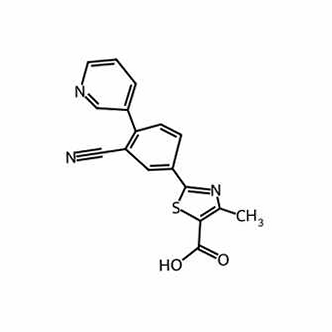 Cc1nc(-c2ccc(-c3cccnc3)c(C#N)c2)sc1C(=O)O